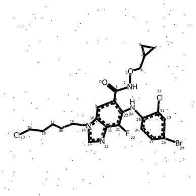 O=C(NOCC1CC1)c1cc2c(ncn2CCCCCCl)c(F)c1Nc1ccc(Br)cc1Cl